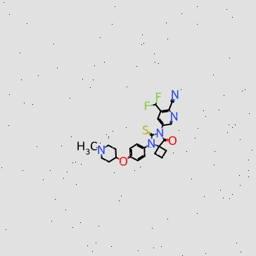 CN1CCC(Oc2ccc(N3C(=S)N(c4cnc(C#N)c(C(F)F)c4)C(=O)C34CCC4)cc2)CC1